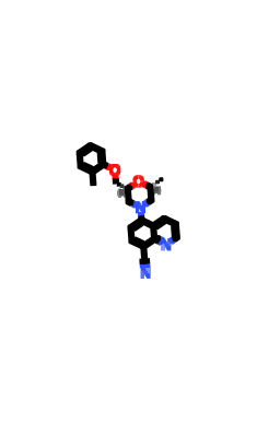 Cc1ccccc1OC[C@H]1CN(c2ccc(C#N)c3ncccc23)C[C@@H](C)O1